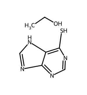 CCO.Sc1ncnc2nc[nH]c12